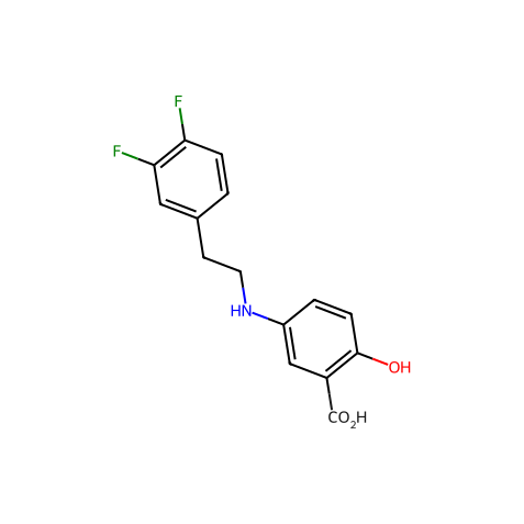 O=C(O)c1cc(NCCc2ccc(F)c(F)c2)ccc1O